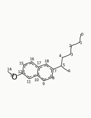 CCCCCC(C)c1ccc2cc(OC)ccc2c1